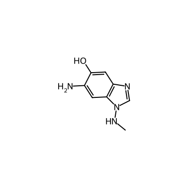 CNn1cnc2cc(O)c(N)cc21